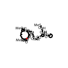 COc1cc2cc(c1Cl)N(C)C(=O)C[C@H](OC(=O)[C@H](C)N(C)C(=O)CCOC(=O)N(C)CCN(C)C(=O)OCc1ccc(NC(=O)OC3/C=C/CCCCC3)c(NC(=O)CCNC(=O)CSC)c1)C1(C)O[C@H]1[C@H](C)[C@@H]1C[C@@](O)(NC(=O)O1)[C@H](OC)/C=C/C=C(\C)C2